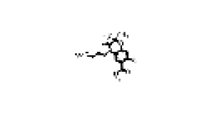 CCNC(=O)c1cc2c(cc1Br)OC(C)(C)C(=O)N2CCCOC